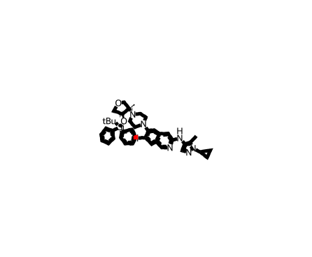 Cc1c(Nc2cc3cc(N4CCN([C@]5(C)COC[C@@H]5O[Si](c5ccccc5)(c5ccccc5)C(C)(C)C)CC4)c(Cl)cc3cn2)cnn1C1CC1